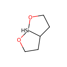 C1CC2CCO[SiH]2O1